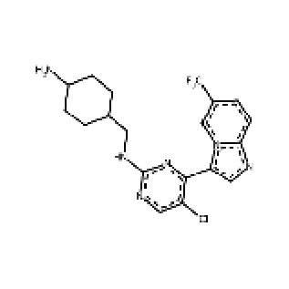 NC1CCC(CNc2ncc(Cl)c(-c3cnc4ccc(C(F)(F)F)cn34)n2)CC1